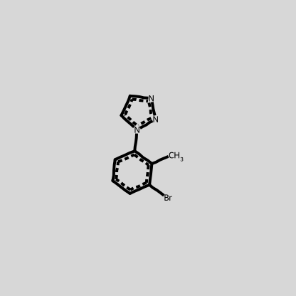 Cc1c(Br)cccc1-n1ccnn1